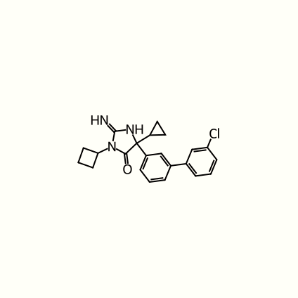 N=C1NC(c2cccc(-c3cccc(Cl)c3)c2)(C2CC2)C(=O)N1C1CCC1